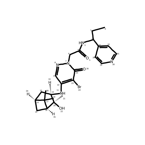 CCC(NC(=O)Cn1ncc(N[C@@H]2C[C@@H]3C[C@@H](C3(C)C)[C@]2(C)O)c(Br)c1=O)c1ccncc1